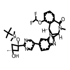 CN1C(=O)c2cccc(OC(F)F)c2[C@H]2C[C@H]1c1nc3ccc(-c4cnc([C@]5(O[Si](C)(C)C(C)(C)C)C[C@@](C)(O)C5)nc4)cc3n12